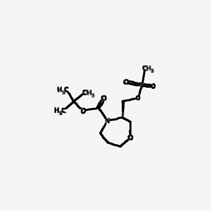 CC(C)(C)OC(=O)N1CCCOC[C@@H]1COS(C)(=O)=O